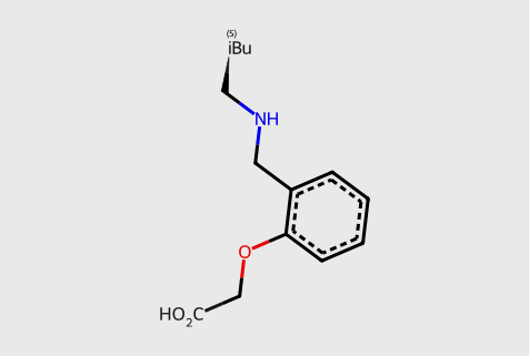 CC[C@H](C)CNCc1ccccc1OCC(=O)O